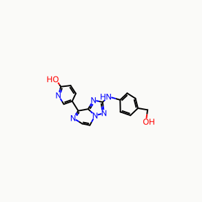 OCc1ccc(Nc2nc3c(-c4ccc(O)nc4)nccn3n2)cc1